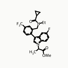 CCN(Cc1cc(C(F)(F)F)ccc1-c1cn(C(C)C(=O)OC)c2ccc(F)cc12)C(=O)C1CC1